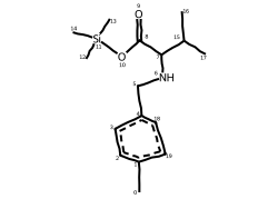 Cc1ccc(CNC(C(=O)O[Si](C)(C)C)C(C)C)cc1